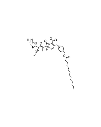 CCCCCCCCCCCCCC(=O)OCc1cc[n+](CC2=C(C(=O)[O-])N3C(=O)C(NC(=O)C(=NOCC)c4nsc(N)n4)[C@@H]3SC2)cc1